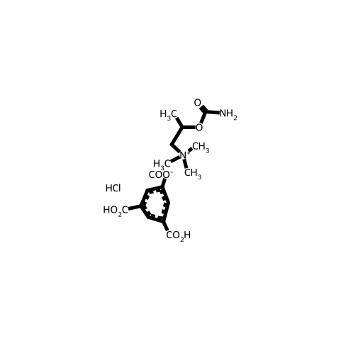 CC(C[N+](C)(C)C)OC(N)=O.Cl.O=C([O-])c1cc(C(=O)O)cc(C(=O)O)c1